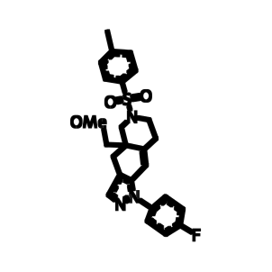 COCC12Cc3cnn(-c4ccc(F)cc4)c3C=C1CCN(S(=O)(=O)c1ccc(C)cc1)C2